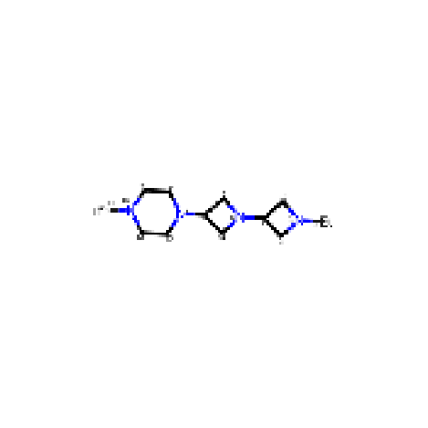 CCN1CC(N2CC(N3CCN(C(C)C)CC3)C2)C1